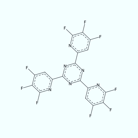 Fc1cc(-c2nc(-c3cc(F)c(F)c(F)n3)nc(-c3cc(F)c(F)c(F)n3)n2)nc(F)c1F